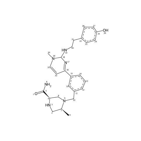 C[C@H]1CN[C@@H](C(N)=O)CN1Cc1cccc(C2=NC(NCCc3ccc(O)cc3)N(C)C=C2)c1